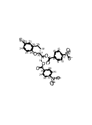 O=C(OC[C@@H](OC(=O)c1ccc([N+](=O)[O-])cc1)[C@H]1CCc2cc(F)ccc2O1)c1ccc([N+](=O)[O-])cc1